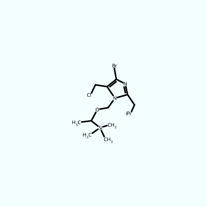 CC(C)Cc1nc(Br)c(CCl)n1COC(C)[Si](C)(C)C